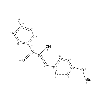 CCCCOc1ccc(/C=C(\C#N)C(=O)c2ccc(C)cc2)cc1